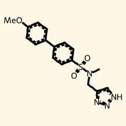 COc1ccc(-c2ccc(S(=O)(=O)N(C)Cc3c[nH]nn3)cc2)cc1